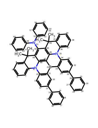 CC1(C)c2ccccc2N2c3ccc(-c4ccccc4)cc3B3c4cc(-c5ccccc5)ccc4N4c5ccccc5C(C)(C)c5c4c3c2c1c5N(c1ccccc1)c1ccccc1